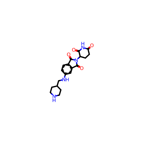 O=C1CCC(N2C(=O)c3ccc(NCC4CCNCC4)cc3C2=O)C(=O)N1